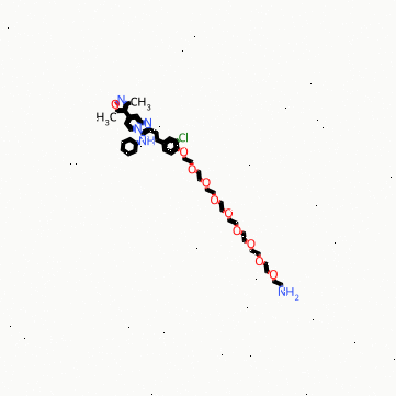 Cc1noc(C)c1-c1ccn2c(NC3CCCCC3)c(CCc3ccc(OCCOCCOCCOCCOCCOCCOCCOCCOCCN)c(Cl)c3)nc2c1